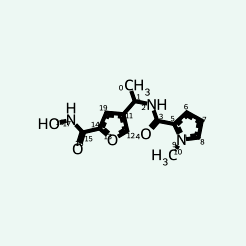 CC(NC(=O)c1cccn1C)c1coc(C(=O)NO)c1